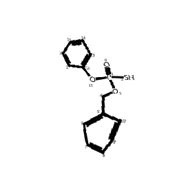 O=P(S)(OCc1ccccc1)Oc1ccccc1